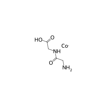 NCC(=O)NCC(=O)O.[Co]